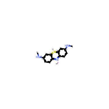 CNc1ccc2nc3ccc(NC)cc3[s+]c2c1.[I-]